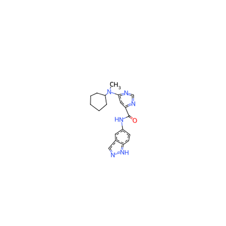 CN(c1cc(C(=O)Nc2ccc3[nH]ncc3c2)ncn1)C1CCCCC1